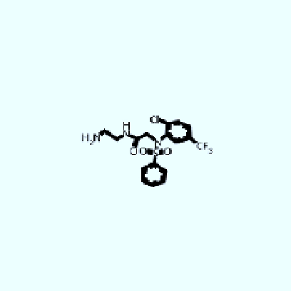 NCCNC(=O)CN(c1cc(C(F)(F)F)ccc1Cl)S(=O)(=O)c1ccccc1